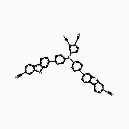 N#Cc1ccc2c(c1)oc1cc(-c3ccc(N(c4ccc(-c5ccc6c(c5)oc5cc(C#N)ccc56)cc4)c4ccc(C#N)c(C#N)c4)cc3)ccc12